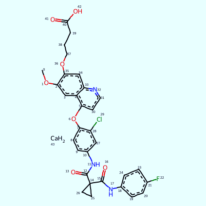 COc1cc2c(Oc3ccc(NC(=O)C4(C(=O)Nc5ccc(F)cc5)CC4)cc3Cl)ccnc2cc1OCCCC(=O)O.[CaH2]